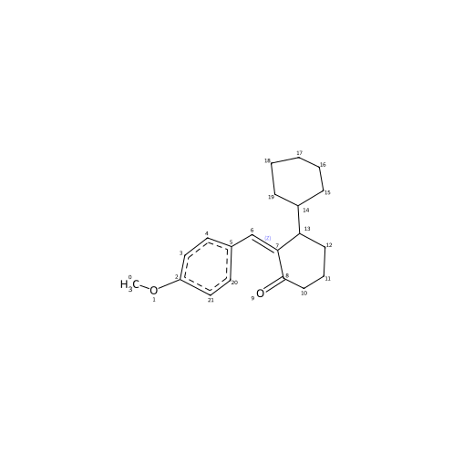 COc1ccc(/C=C2\C(=O)CCCC2C2CCCCC2)cc1